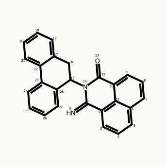 N=C1c2cccc3cccc(c23)C(=O)N1C1Cc2ccccc2-c2ccccc21